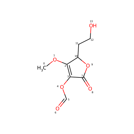 COC1=C(OC=O)C(=O)OC1CCO